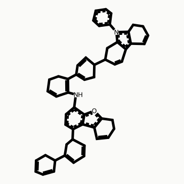 C1=CCC(C2=CC=CC(c3ccc(NC4=C(C5=CCC(C6C=Cc7c8c(n(-c9ccccc9)c7C6)CCC=C8)C=C5)CCC=C4)c4oc5c(c34)C=CCC5)C2)C=C1